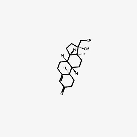 C[C@]12CC[C@H]3[C@@H](CCC4=CC(=O)CC[C@@H]43)[C@@H]1CC[C@@]2(O)CC#N